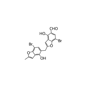 Cc1cc2c(O)c(Cc3cc4c(O)c(C=O)cc(Br)c4o3)cc(Br)c2o1